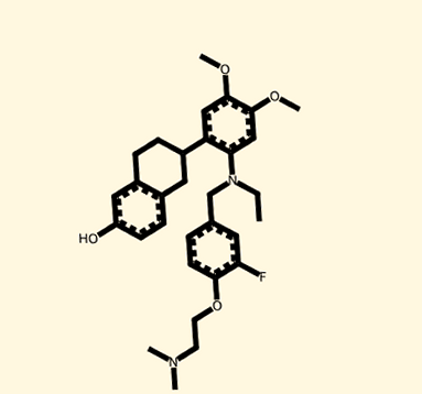 CCN(Cc1ccc(OCCN(C)C)c(F)c1)c1cc(OC)c(OC)cc1C1CCc2cc(O)ccc2C1